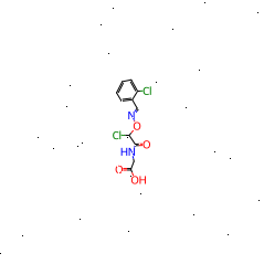 O=C(O)CNC(=O)C(Cl)ON=Cc1ccccc1Cl